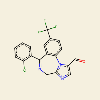 O=Cc1cnc2n1-c1ccc(C(F)(F)F)cc1C(c1ccccc1Cl)=NC2